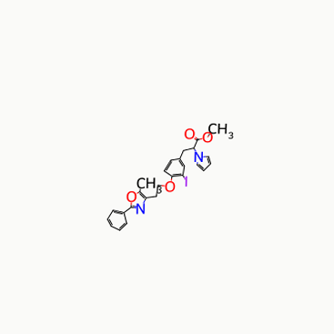 COC(=O)C(Cc1ccc(OCCc2nc(-c3ccccc3)oc2C)c(I)c1)n1cccc1